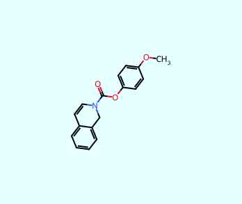 COc1ccc(OC(=O)N2C=Cc3ccccc3C2)cc1